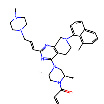 C=CC(=O)N1C[C@H](C)N(c2nc(/C=C/CN3CCN(C)CC3)nc3c2CCN(c2cccc4cccc(C)c24)C3)C[C@H]1C